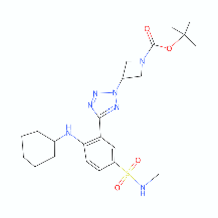 CNS(=O)(=O)c1ccc(NC2CCCCC2)c(-c2nnn(C3CN(C(=O)OC(C)(C)C)C3)n2)c1